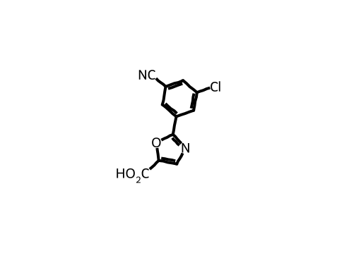 N#Cc1cc(Cl)cc(-c2ncc(C(=O)O)o2)c1